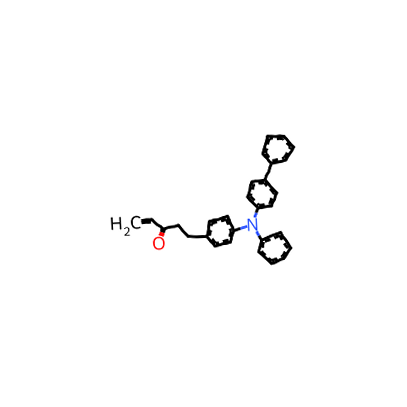 C=CC(=O)CCc1ccc(N(c2ccccc2)c2ccc(-c3ccccc3)cc2)cc1